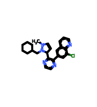 CN1C=CC(c2nccnc2-c2cc(Cl)c3ncccc3c2)N1CC1CCCCC1